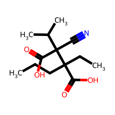 CCCC(CC)(C(=O)O)C(C#N)(C(=O)O)C(C)C